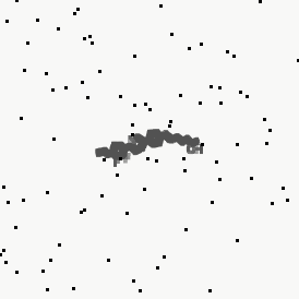 C=CCc1ccc(-c2ccc(-c3ccc(C=CCCCC(C)O)cc3)cn2)c(F)c1F